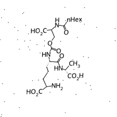 CCCCCCC(=O)NC(COC(=O)N[C@@H](CCCC(N)C(=O)O)C(=O)N[C@H](C)C(=O)O)C(=O)O